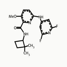 COc1ccc(Nc2cc(F)nc(F)c2)nc1C(=O)NC1CCC1(C)C